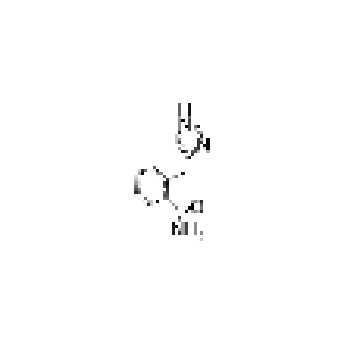 NC(=O)c1ccccc1Cc1c[nH]cn1